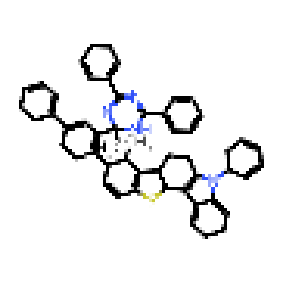 CC1C2=C(C=CC1C1=C(C3(C)N=C(C4=CCCC=C4)N=C(c4ccccc4)N3)C=C(C3=CC=CCC3)CC1)SC1c3c(n(C4C=CC=CC4)c4c3=CCCC=4)CCC21